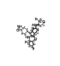 NC(=O)C1CCC(n2c(Nc3c(F)cc(F)cc3Cl)nc3cnc(N[C@@H]4CCOC[C@H]4F)nc32)CC1